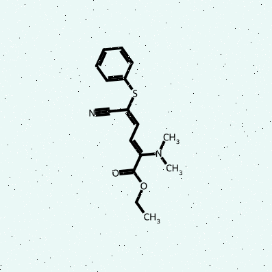 CCOC(=O)C(=CC=C(C#N)Sc1ccccc1)N(C)C